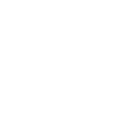 O=CC1CN(C(=O)c2cc(-c3ccc(F)c(Cl)c3)n(-c3cccc(Cl)c3)n2)CN1